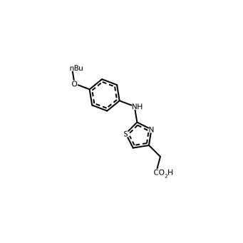 CCCCOc1ccc(Nc2nc(CC(=O)O)cs2)cc1